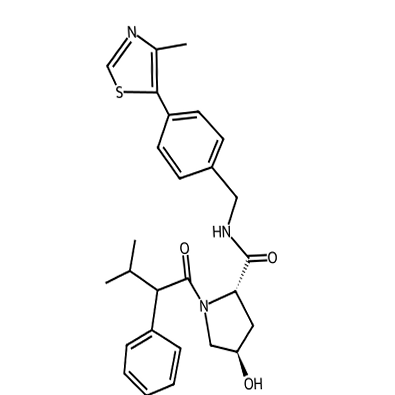 Cc1ncsc1-c1ccc(CNC(=O)[C@@H]2C[C@@H](O)CN2C(=O)C(c2ccccc2)C(C)C)cc1